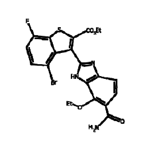 CCOC(=O)c1sc2c(F)ccc(Br)c2c1-c1nc2ccc(C(N)=O)c(OCC)c2[nH]1